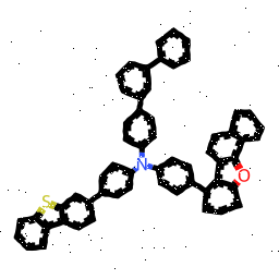 c1ccc(-c2cccc(-c3ccc(N(c4ccc(-c5ccc6c(c5)sc5ccccc56)cc4)c4ccc(-c5cccc6oc7c8ccccc8ccc7c56)cc4)cc3)c2)cc1